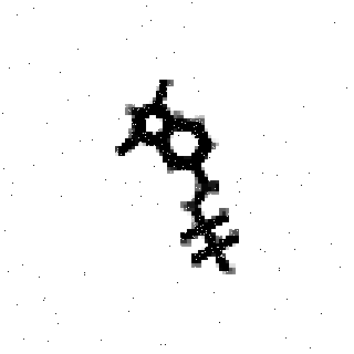 Cc1nn(C)c2cc(BOC(C)(C)C(C)(C)C)ccc12